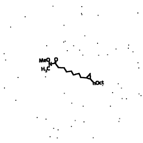 CCCCCCCCC1CC1CCCCCCCC(=O)N(C)OC